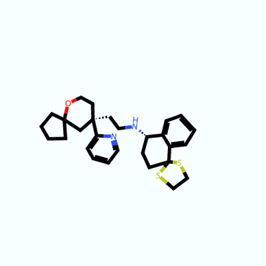 c1ccc([C@]2(CCN[C@H]3CCC4(SCCS4)c4ccccc43)CCOC3(CCCC3)C2)nc1